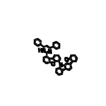 C1=C(c2ccccc2)N=C(c2cccc3oc4c(-n5c6ccccc6c6ccc7c8ccccc8oc7c65)cccc4c23)NC1c1ccccc1